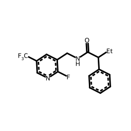 CCC(C(=O)NCc1cc(C(F)(F)F)cnc1F)c1ccccc1